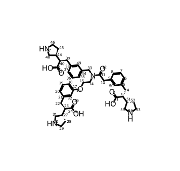 O=C(O)[C@H](Cc1cccc(CC(=O)N(CCOc2cccc(C[C@@H](C(=O)O)[C@@H]3CCNC3)c2)Cc2cccc(C[C@@H](C(=O)O)[C@@H]3CCNC3)c2)c1)[C@@H]1CCNC1